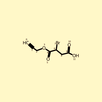 C#CCOC(=O)C(Br)CC(=O)O